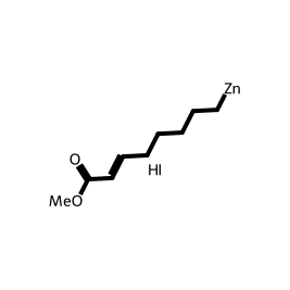 COC(=O)C=CCCCC[CH2][Zn].I